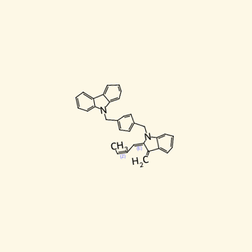 C=c1/c(=C\C=C/C)n(Cc2ccc(Cn3c4ccccc4c4ccccc43)cc2)c2ccccc12